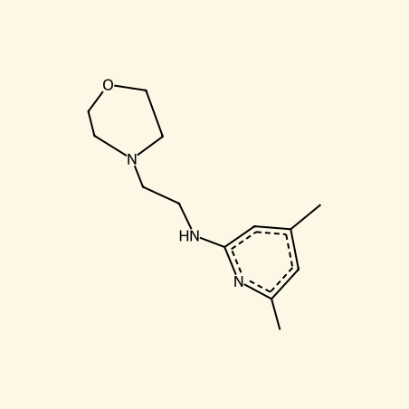 Cc1cc(C)nc(NCCN2CCOCC2)c1